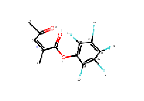 CC(=O)/C=C(/C)C(=O)Oc1c(F)c(F)c(F)c(F)c1F